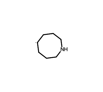 [CH]1CCCNCCC1